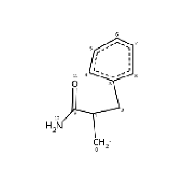 [CH2]C(Cc1ccccc1)C(N)=O